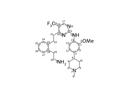 COc1cc(C2CCN(C)CC2)ccc1Nc1ncc(C(F)(F)F)c(CCc2ccccc2CCN)n1